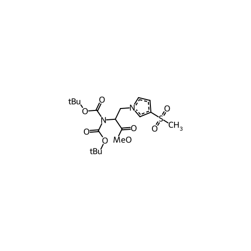 COC(=O)C(Cn1ccc(S(C)(=O)=O)c1)N(C(=O)OC(C)(C)C)C(=O)OC(C)(C)C